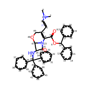 CN(C)/C=C/C1=C(C(=O)OC(c2ccccc2)c2ccccc2)N2C(=O)C(NC(c3ccccc3)(c3ccccc3)c3ccccc3)C2OC1